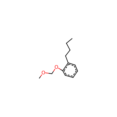 CCCCc1ccccc1OCOC